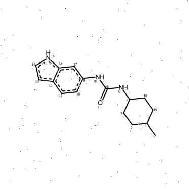 CC1CCC(NC(=O)Nc2ccc3cc[nH]c3c2)CC1